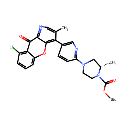 Cc1cnc2c(=O)c3c(Cl)cccc3oc2c1-c1ccc(N2CCN(C(=O)OC(C)(C)C)[C@@H](C)C2)nc1